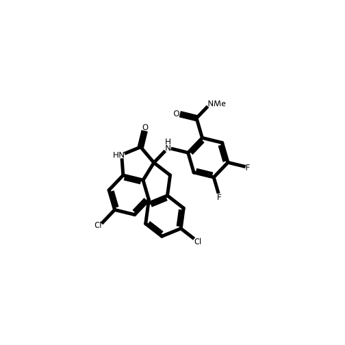 CNC(=O)c1cc(F)c(F)cc1NC1(Cc2cccc(Cl)c2)C(=O)Nc2cc(Cl)ccc21